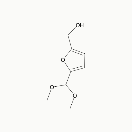 COC(OC)c1ccc(CO)o1